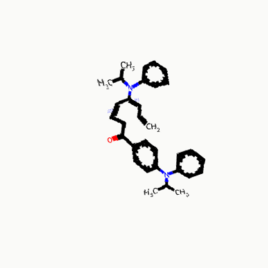 C=C/C=C(\C=C/CC(=O)c1ccc(N(c2ccccc2)C(C)C)cc1)N(c1ccccc1)C(C)C